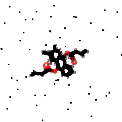 CCCC(=O)Oc1c2ccccc2c(OC(=O)CCC)c2cc(C)c(C)cc12